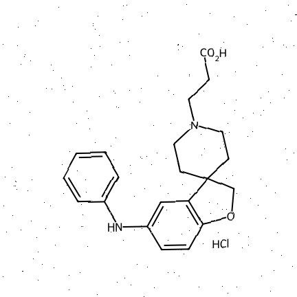 Cl.O=C(O)CCN1CCC2(CC1)COc1ccc(Nc3ccccc3)cc12